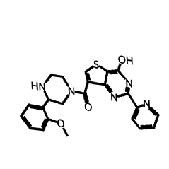 COc1ccccc1C1CN(C(=O)c2csc3c(O)nc(-c4ccccn4)nc23)CCN1